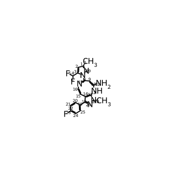 Cc1cc(C(F)F)n(-c2cc(N)[nH]c3c(ccn2)c(-c2ccc(F)cc2)nn3C)n1